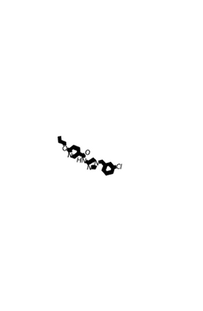 CCCOc1ccc(C(=O)Nc2cn(Cc3cccc(Cl)c3)cn2)cn1